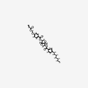 C=CC(=O)OCOc1ccc(C(=O)O[C@H]2CO[C@H]3[C@@H]2OC[C@H]3OC(=O)c2ccc(CCCCCCC)cc2)cc1